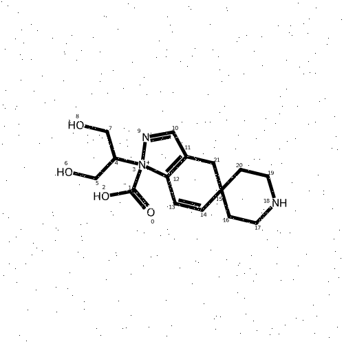 O=C(O)[N+]1(C(CO)CO)N=CC2=C1C=CC1(CCNCC1)C2